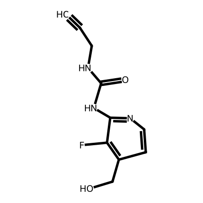 C#CCNC(=O)Nc1nccc(CO)c1F